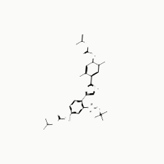 CC1=CC(NC(=O)OC(C)C)C(C)C=C1c1ncc(-c2ccc(NC(=O)OC(C)C)cc2S(=O)(=O)NC(C)(C)C)s1